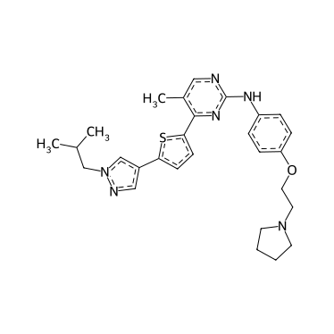 Cc1cnc(Nc2ccc(OCCN3CCCC3)cc2)nc1-c1ccc(-c2cnn(CC(C)C)c2)s1